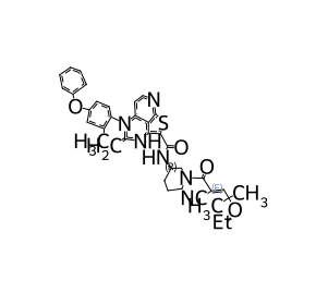 C=c1[nH]c2c(C(=O)N[C@@H]3CCCN(C(=O)/C(C#N)=C/C(C)(C)OCC)C3)sc3nccc(c32)n1-c1ccc(Oc2ccccc2)cc1C